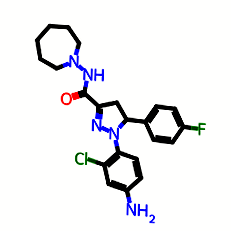 Nc1ccc(N2N=C(C(=O)NN3CCCCCC3)CC2c2ccc(F)cc2)c(Cl)c1